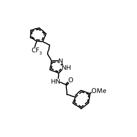 COc1cccc(CC(=O)Nc2cc(CCc3ccccc3C(F)(F)F)n[nH]2)c1